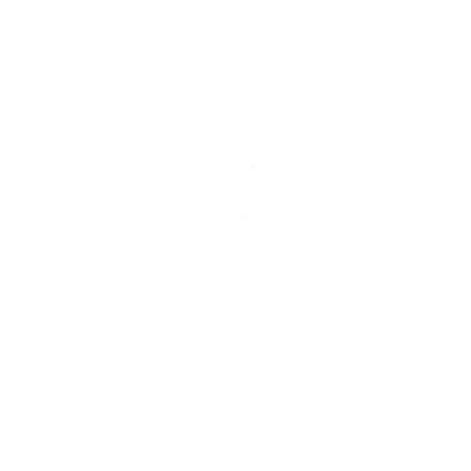 C1=CC=C1.C1SSSS1